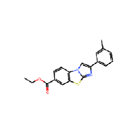 CCOC(=O)c1ccc2c(c1)sc1nc(-c3cccc(C)c3)cn12